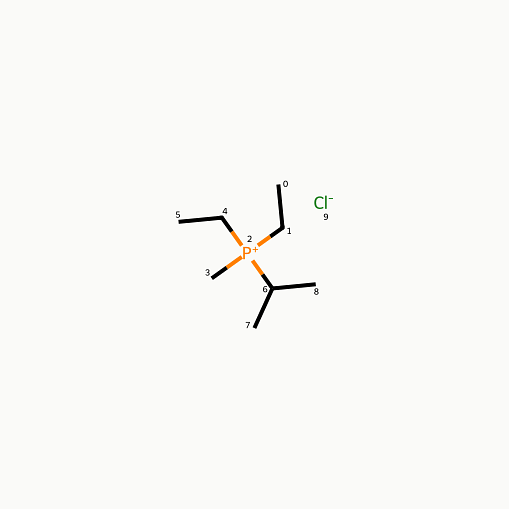 CC[P+](C)(CC)C(C)C.[Cl-]